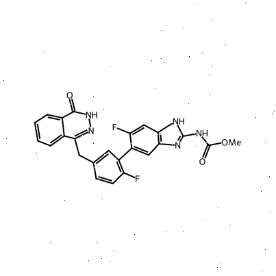 COC(=O)Nc1nc2cc(-c3cc(Cc4n[nH]c(=O)c5ccccc45)ccc3F)c(F)cc2[nH]1